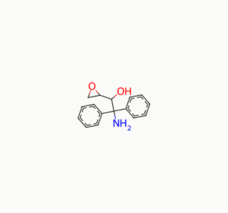 NC(c1ccccc1)(c1ccccc1)C(O)C1CO1